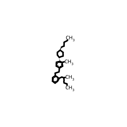 CCCCC[C@H]1CC[C@H](c2ccc(CCc3ccccc3CC(C)CCC)cc2C)CC1